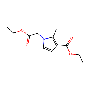 CCOC(=O)Cn1ccc(C(=O)OCC)c1C